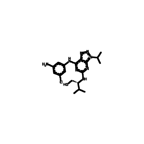 CC(C)[C@H](CO)Nc1nc(Nc2cc(N)cc(Cl)c2)c2nnn(C(C)C)c2n1